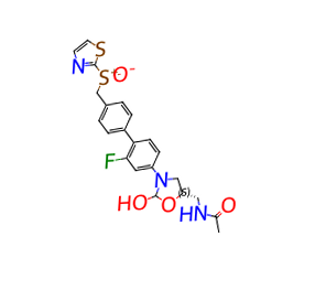 CC(=O)NC[C@H]1CN(c2ccc(-c3ccc(C[S+]([O-])c4nccs4)cc3)c(F)c2)C(O)O1